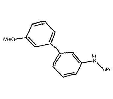 CCCNc1cccc(-c2cccc(OC)c2)c1